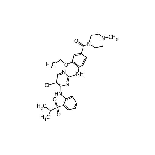 CCOc1cc(C(=O)N2CCN(C)CC2)ccc1Nc1ncc(Cl)c(Nc2ccccc2S(=O)(=O)C(C)C)n1